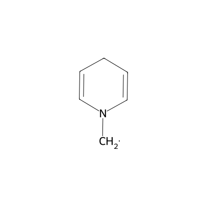 [CH2]N1C=CCC=C1